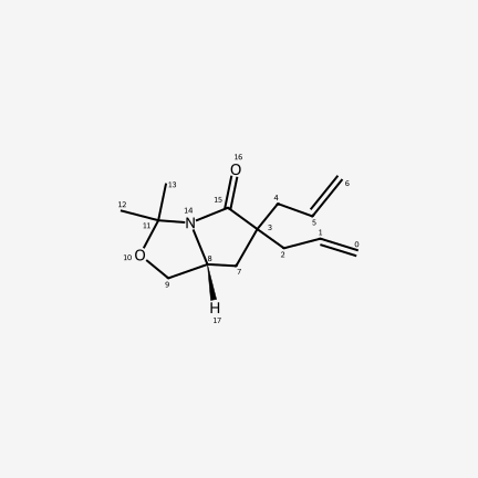 C=CCC1(CC=C)C[C@@H]2COC(C)(C)N2C1=O